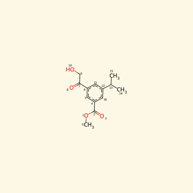 COC(=O)c1cc(C(=O)CO)cc(C(C)C)c1